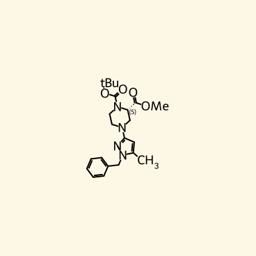 COC(=O)[C@@H]1CN(c2cc(C)n(Cc3ccccc3)n2)CCN1C(=O)OC(C)(C)C